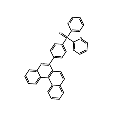 O=P(c1ccc(-c2nc3ccccc3c3c2ccc2ccccc23)cc1)(c1ccccn1)c1ccccn1